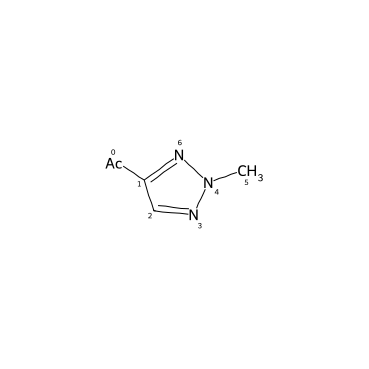 CC(=O)c1cnn(C)n1